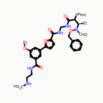 CCCCCC(C(=O)NCNC(=O)c1ccc(-c2cc(OCC)cc(C(=O)NCCNC(=O)O)c2)o1)[C@@H](CC)N(C=O)OCc1ccccc1